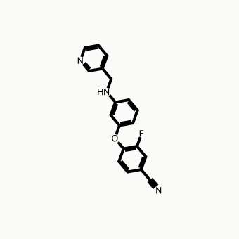 N#Cc1ccc(Oc2cccc(NCc3cccnc3)c2)c(F)c1